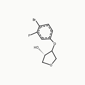 O[C@H]1COCC1Oc1ccc(Br)c(F)c1